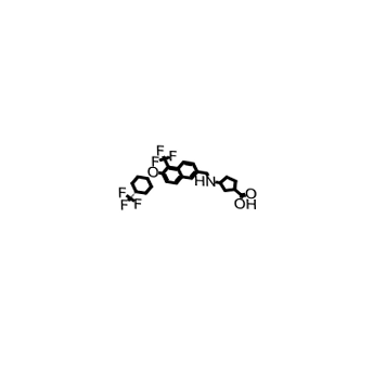 O=C(O)C1CCC(NCc2ccc3c(C(F)(F)F)c(O[C@H]4CC[C@@H](C(F)(F)F)CC4)ccc3c2)C1